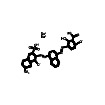 Nc1ccc2cc(S(=O)(=O)O)c(N=Nc3ccc(N=Nc4ccc([O-])c(C(=O)O)c4O)c4ccccc34)c([O-])c2c1.[Na+].[Na+]